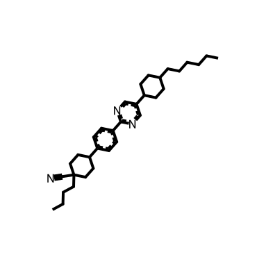 CCCCCCC1CCC(c2cnc(-c3ccc(C4CCC(C#N)(CCCC)CC4)cc3)nc2)CC1